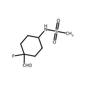 CS(=O)(=O)NC1CCC(F)(C=O)CC1